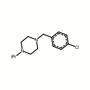 CC(C)N1CCN(Cc2ccc(Cl)cc2)CC1